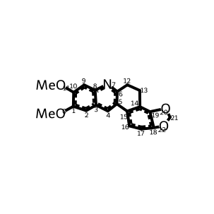 COc1cc2cc3c(nc2cc1OC)CCc1c-3ccc2c1OCO2